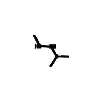 CBBB(C)C